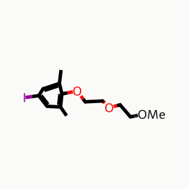 COCCOCCOc1c(C)cc(I)cc1C